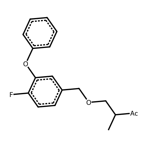 CC(=O)C(C)COCc1ccc(F)c(Oc2ccccc2)c1